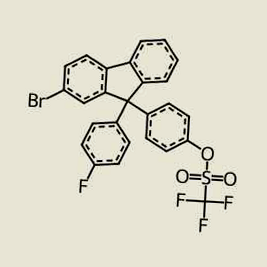 O=S(=O)(Oc1ccc(C2(c3ccc(F)cc3)c3ccccc3-c3ccc(Br)cc32)cc1)C(F)(F)F